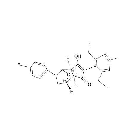 CCc1cc(C)cc(CC)c1C1=C(O)[C@@H]2C3O[C@@H](CC3c3ccc(F)cc3)[C@@H]2C1=O